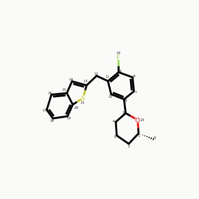 C[C@@H]1CCCC(c2ccc(F)c(Cc3cc4ccccc4s3)c2)O1